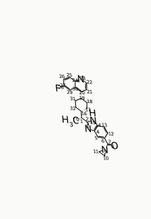 C[C@@H](c1nc2cc(C(=O)N3CC3)ccc2[nH]1)[C@H]1CC[C@@H](c2ccnc3ccc(F)cc32)CC1